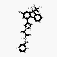 CC(C(=O)NNc1cnccn1)n1cc(-c2cc(F)cc3c2-c2ccccc2C3(O)C(F)(F)F)cn1